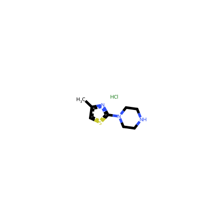 Cc1csc(N2CCNCC2)n1.Cl